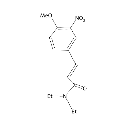 CCN(CC)C(=O)/C=C/c1ccc(OC)c([N+](=O)[O-])c1